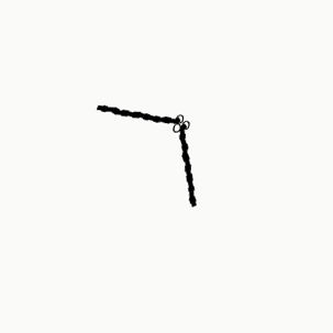 CC#CC#CC#CC#CC#CC#CC#CC(=O)OC(=O)C#CC#CC#CC#CC#CC#CC#CC